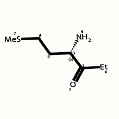 CCC(=O)[C@@H](N)CCSC